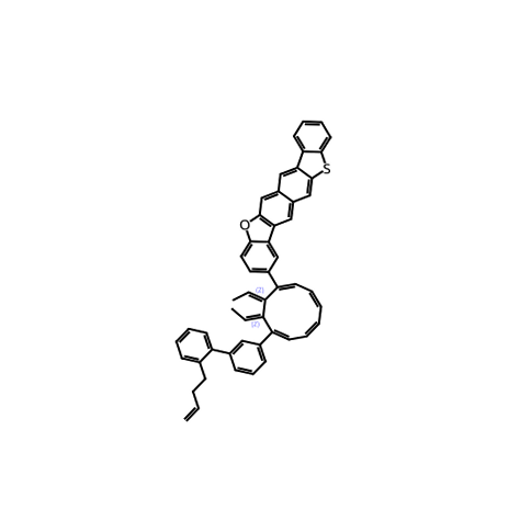 C=CCCc1ccccc1-c1cccc(-c2ccccccc(-c3ccc4oc5cc6cc7c(cc6cc5c4c3)sc3ccccc37)c(=C/C)/c2=C\C)c1